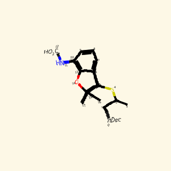 CCCCCCCCCCCC(C)SC1c2cccc(NC(=O)O)c2OC1(C)C